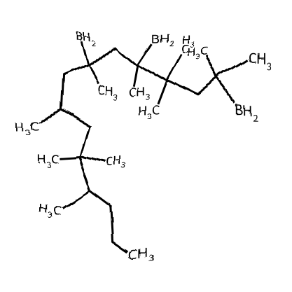 BC(C)(C)CC(C)(C)C(B)(C)CC(B)(C)CC(C)CC(C)(C)C(C)CCC